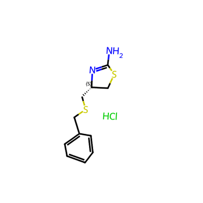 Cl.NC1=N[C@@H](CSCc2ccccc2)CS1